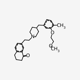 COCCOc1cc(CC2CCN(CCc3ccc4c(c3)C(=O)CCC4)CC2)ccc1C